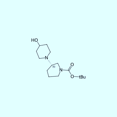 CC(C)(C)OC(=O)N1CCC[C@H](N2CCC(O)CC2)C1